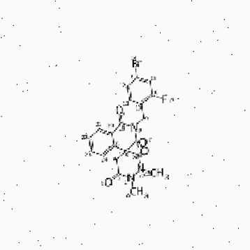 CN1C(=O)CC2(C(=O)N(Cc3ccc(Br)cc3F)C(=O)c3ccccc32)C(=O)N1C